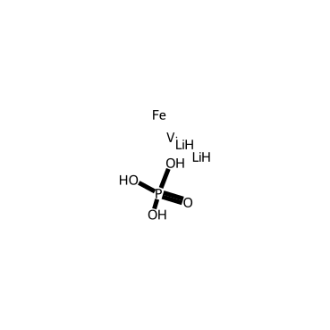 O=P(O)(O)O.[Fe].[LiH].[LiH].[V]